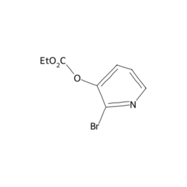 CCOC(=O)Oc1cccnc1Br